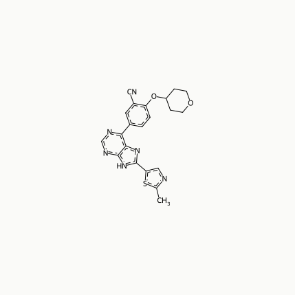 Cc1ncc(-c2nc3c(-c4ccc(OC5CCOCC5)c(C#N)c4)ncnc3[nH]2)s1